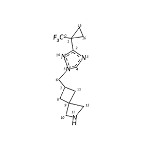 FC(F)(F)C1(c2ncn(CC3CC4(CNC4)C3)n2)CC1